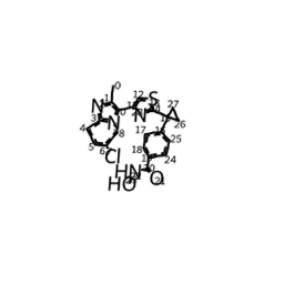 Cc1nc2ccc(Cl)cn2c1-c1csc(C2(c3ccc(C(=O)NO)cc3)CC2)n1